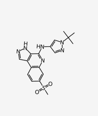 CC(C)(C)n1cc(Nc2nc3cc(S(C)(=O)=O)ccc3c3cn[nH]c23)cn1